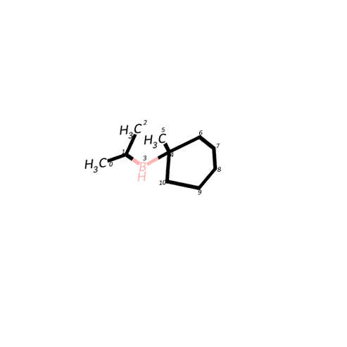 CC(C)BC1(C)CCCCC1